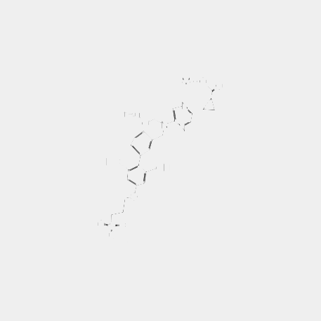 COC(=O)[C@H]1C[C@@H]1c1cnc(N(COC(C)(C)C)Cc2cccc(-c3c(C)cc(OCCCS(C)(=O)=O)cc3C)c2)cn1